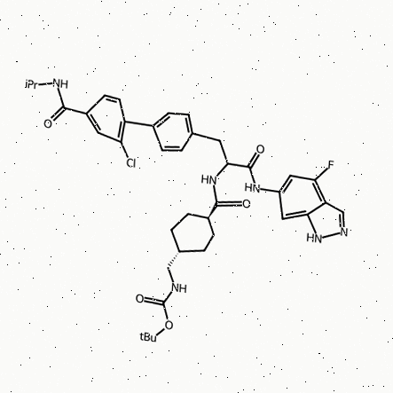 CC(C)NC(=O)c1ccc(-c2ccc(CC(NC(=O)[C@H]3CC[C@H](CNC(=O)OC(C)(C)C)CC3)C(=O)Nc3cc(F)c4cn[nH]c4c3)cc2)c(Cl)c1